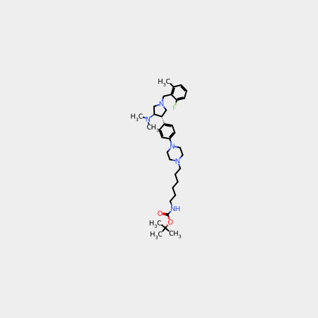 Cc1cccc(F)c1CN1C[C@H](c2ccc(N3CCN(CCCCCCNC(=O)OC(C)(C)C)CC3)cc2)[C@@H](N(C)C)C1